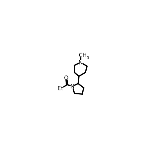 CCC(=O)N1CCCC1C1CCN(C)CC1